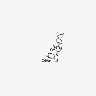 COc1nccc(Sc2cnc(N3CCC4(CC3)CO[C@@H](C)C4)n(C)c2=O)c1Cl